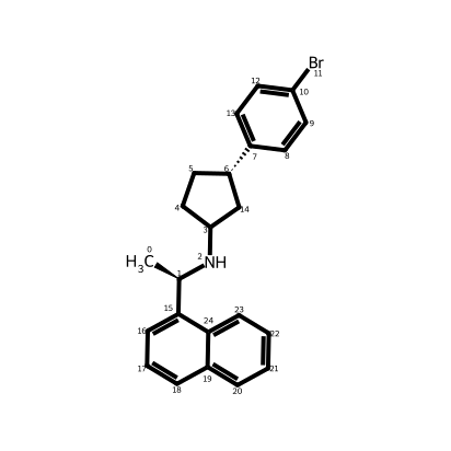 C[C@@H](NC1CC[C@H](c2ccc(Br)cc2)C1)c1cccc2ccccc12